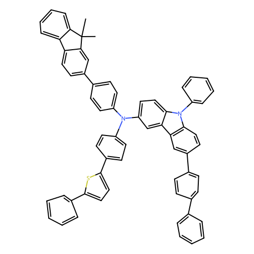 CC1(C)c2ccccc2-c2ccc(-c3ccc(N(c4ccc(-c5ccc(-c6ccccc6)s5)cc4)c4ccc5c(c4)c4cc(-c6ccc(-c7ccccc7)cc6)ccc4n5-c4ccccc4)cc3)cc21